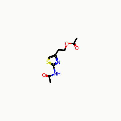 CC(=O)Nc1nc(CCOC(C)=O)cs1